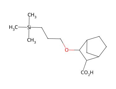 C[Si](C)(C)CCCOC1C2CCC(C2)C1C(=O)O